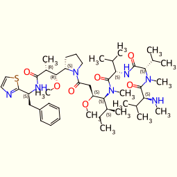 CC[C@H](C)[C@@H]([C@H](CC(=O)N1CCC[C@H]1[C@H](OC)[C@@H](C)C(=O)N[C@@H](Cc1ccccc1)c1nccs1)OC)N(C)C(=O)[C@@H](NC(=O)[C@H](C(C)C)N(C)C(=O)[C@@H](NC)C(C)C)C(C)C